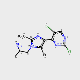 CCc1c(-c2nc(Cl)ncc2Cl)nc(C(=O)O)n1CC(C)N